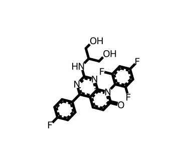 O=c1ccc2c(-c3ccc(F)cc3)nc(NC(CO)CO)nc2n1-c1c(F)cc(F)cc1F